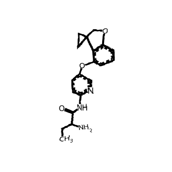 CCC(N)C(=O)Nc1ccc(Oc2cccc3c2C2(CC2)CO3)cn1